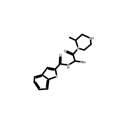 CC1CNCCN1C(=O)C(NC(=O)c1cc2ccccc2s1)C(C)(C)C